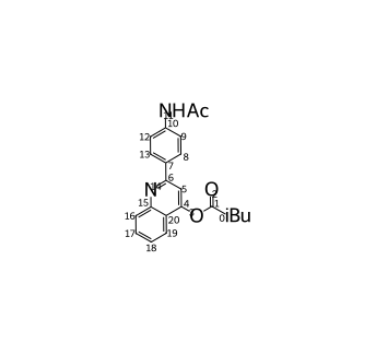 CCC(C)C(=O)Oc1cc(-c2ccc(NC(C)=O)cc2)nc2ccccc12